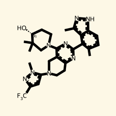 Cc1ccc2[nH]nc(C)c2c1-c1nc2c(c(N3CC[C@@H](O)C(C)(C)C3)n1)CN(c1cc(C(F)(F)F)nn1C)CC2